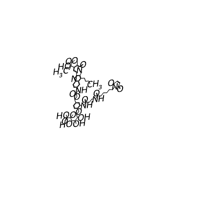 CCCCc1c2c(nc3ccc(NC(=O)OCc4ccc(OC5OC(C(=O)O)[C@@H](O)C(O)[C@H]5O)c(NC(=O)CCNC(=O)CCCCCN5C(=O)C=CC5=O)c4)cc13)-c1cc3c(c(=O)n1C2)COC(=O)[C@]3(O)CC